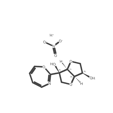 O=[N+]([O-])[O-].O[C@@H]1CO[C@H]2[C@@H]1OC[C@]2(O)C1=NC=CC=CO1.[H+]